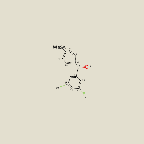 CSc1ccc(C(=O)c2cc(F)cc(F)c2)cc1